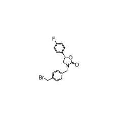 O=C1O[C@H](c2ccc(F)cc2)CN1Cc1ccc(CBr)cc1